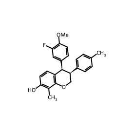 COc1ccc([C@@H]2c3ccc(O)c(C)c3OC[C@@H]2c2ccc(C)cc2)cc1F